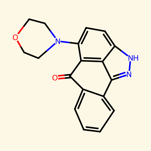 O=C1c2ccccc2-c2n[nH]c3ccc(N4CCOCC4)c1c23